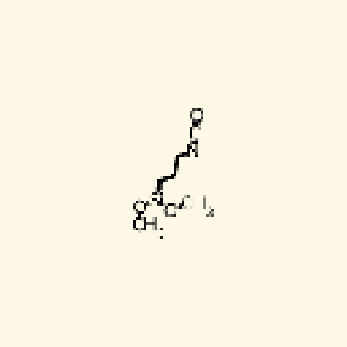 CO[SiH](CCCN=C=O)OC